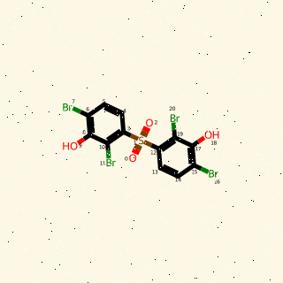 O=S(=O)(c1ccc(Br)c(O)c1Br)c1ccc(Br)c(O)c1Br